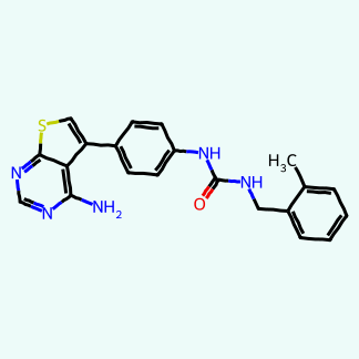 Cc1ccccc1CNC(=O)Nc1ccc(-c2csc3ncnc(N)c23)cc1